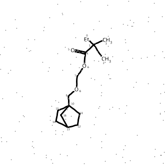 CCC(C)(C)C(=O)OCOCC12CCC(CC1)C2